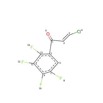 O=C(/C=C/Cl)c1cc(F)c(F)c(F)c1F